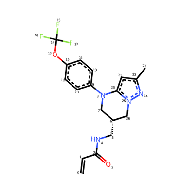 C=CC(=O)NC[C@@H]1CN(c2ccc(OC(F)(F)F)cc2)c2cc(C)nn2C1